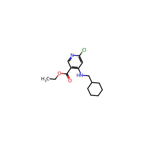 CCOC(=O)c1cnc(Cl)cc1NCC1CCCCC1